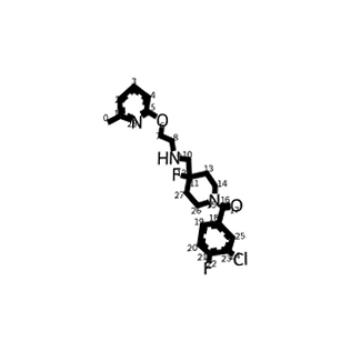 Cc1cccc(OCCNCC2(F)CCN(C(=O)c3ccc(F)c(Cl)c3)CC2)n1